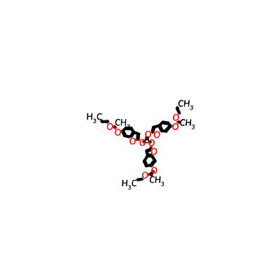 CCCOC(C)Oc1ccc2cc(OB(Oc3cc4ccc(OC(C)OCCC)cc4o3)Oc3cc4ccc(OC(C)OCCC)cc4o3)oc2c1